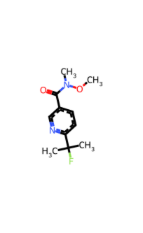 CON(C)C(=O)c1ccc(C(C)(C)F)nc1